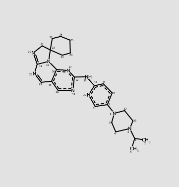 CC(C)N1CCN(c2ccc(Nc3ncc4c(n3)N3C(=NCC35CCCCC5)N=C4)nc2)CC1